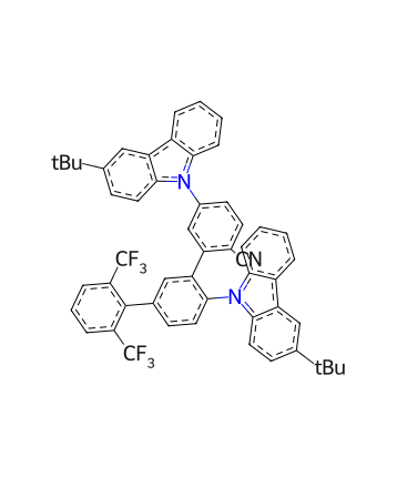 CC(C)(C)c1ccc2c(c1)c1ccccc1n2-c1ccc(C#N)c(-c2cc(-c3c(C(F)(F)F)cccc3C(F)(F)F)ccc2-n2c3ccccc3c3cc(C(C)(C)C)ccc32)c1